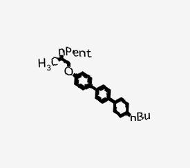 CCCCCC(C)COc1ccc(-c2ccc(C3CCC(CCCC)CC3)cc2)cc1